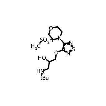 CC(C)(C)NCC(O)COc1nsnc1N1CCOCC1.CS(=O)(=O)O